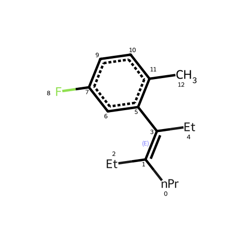 CCC/C(CC)=C(\CC)c1cc(F)ccc1C